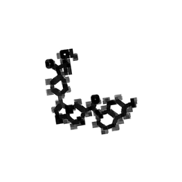 CNC(=O)c1ccc(-c2cnc3cnc(C(=O)N4CCCc5cc(F)ccc54)cn23)cc1